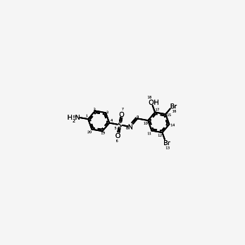 Nc1ccc(S(=O)(=O)N=Cc2cc(Br)cc(Br)c2O)cc1